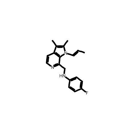 CC=Cn1c(C)c(C)c2ccnc(CNc3ccc(F)cc3)c21